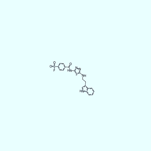 O=C(Nc1nnc(NCCc2c[nH]c3ccccc23)s1)c1ccc(S(=O)(=O)F)cc1